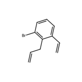 C=CCc1c(Br)cccc1C=C